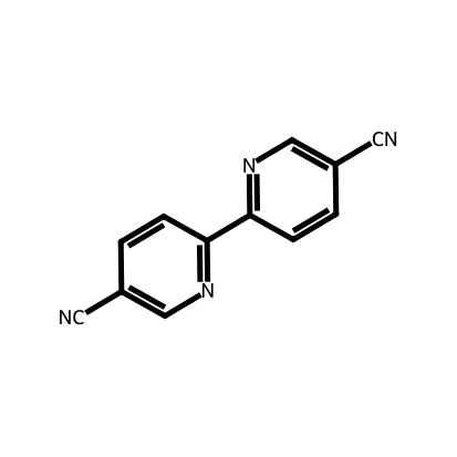 N#Cc1ccc(-c2ccc(C#N)cn2)nc1